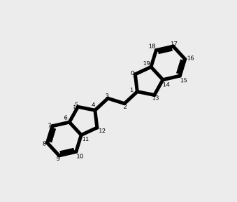 [C]1C(CCC2[C]C3C=CC=CC3C2)CC2C=CC=CC12